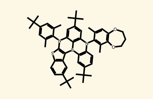 Cc1cc(C(C)(C)C)cc(C)c1N1c2cc(C(C)(C)C)cc3c2B(c2cc(C(C)(C)C)ccc2N3c2c(C)cc3c(c2C)OCCCO3)c2c1sc1ccc(C(C)(C)C)cc21